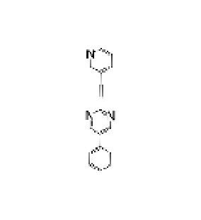 C(#Cc1ncc(-c2ccccc2)cn1)c1cccnc1